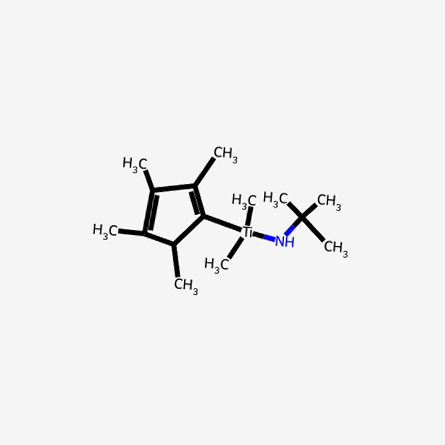 CC1=C(C)C(C)[C]([Ti]([CH3])([CH3])[NH]C(C)(C)C)=C1C